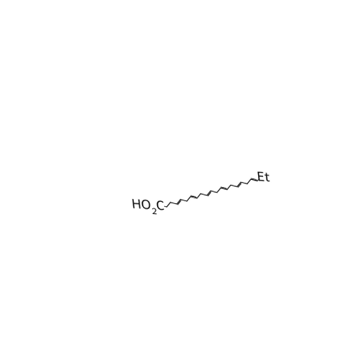 CC/C=C/C/C=C/C/C=C/C/C=C/C/C=C/CC=CCCC(=O)O